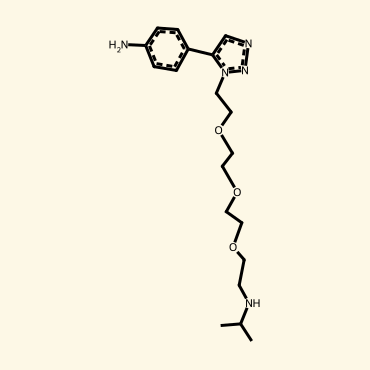 CC(C)NCCOCCOCCOCCn1nncc1-c1ccc(N)cc1